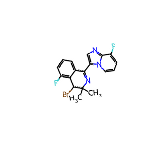 CC1(C)N=C(c2cnc3c(F)cccn23)c2cccc(F)c2C1Br